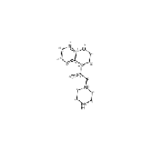 O=C(CN1CCNCC1)N1CCOc2ncccc21